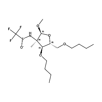 CCCCOC[C@H]1O[C@H](OC)[C@](C)(N[S+]([O-])C(F)(F)F)[C@@H]1OCCCC